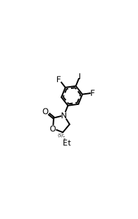 CC[C@H]1CN(c2cc(F)c(I)c(F)c2)C(=O)O1